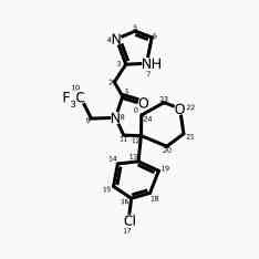 O=C(Cc1ncc[nH]1)N(CC(F)(F)F)CC1(c2ccc(Cl)cc2)CCOCC1